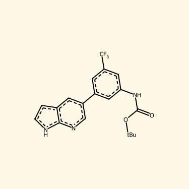 CC(C)(C)OC(=O)Nc1cc(-c2cnc3[nH]ccc3c2)cc(C(F)(F)F)c1